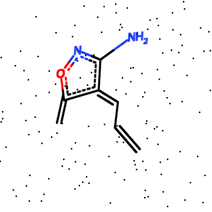 C=C/C=c1/c(N)noc1=C